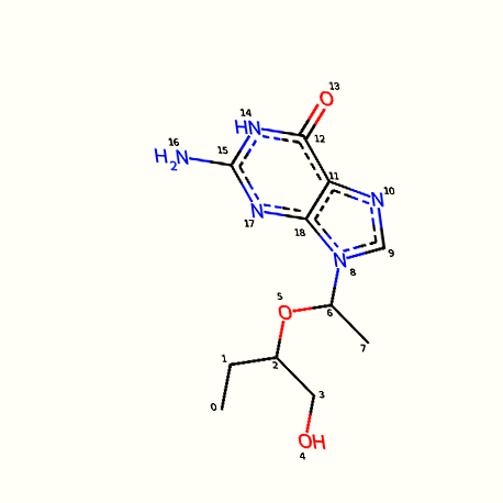 CCC(CO)OC(C)n1cnc2c(=O)[nH]c(N)nc21